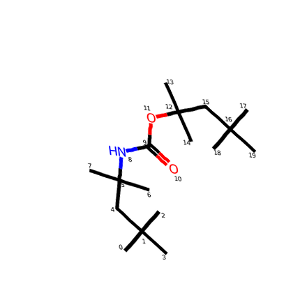 CC(C)(C)CC(C)(C)NC(=O)OC(C)(C)CC(C)(C)C